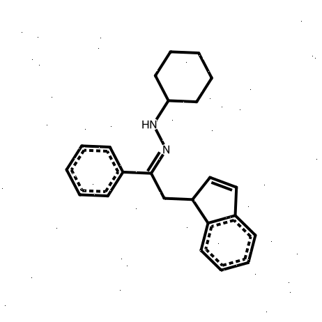 C1=CC(CC(=NNC2CCCCC2)c2ccccc2)c2ccccc21